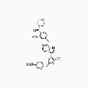 COc1ccc(Cn2cc(-c3cnc4c(Nc5ccc(C(=O)C6CCOCC6)c(O)c5)nccn34)c(C(F)(F)F)n2)nn1